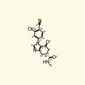 CNC(=O)[C@H]1CC(=O)c2c(ncn2-c2ccc(C#N)c(Cl)c2)C1